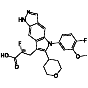 COc1cc(-n2c(C3CCOCC3)c(C[C@@H](F)C(=O)O)c3cc4[nH]ncc4cc32)ccc1F